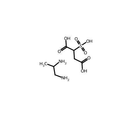 CC(N)CN.O=C(O)CC(C(=O)O)S(=O)(=O)O